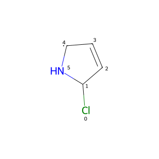 ClC1C=C[CH]N1